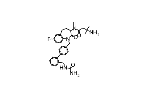 CC(C)(N)CC(=O)N[C@@H]1CCc2cc(F)ccc2N(Cc2ccc(-c3ccccc3CNC(N)=O)cc2)C1=O